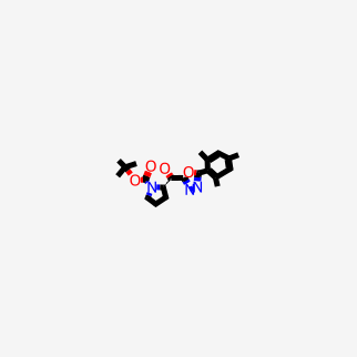 Cc1cc(C)c(-c2nnc(C(=O)[C@@H]3CCCN3C(=O)OC(C)(C)C)o2)c(C)c1